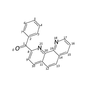 O=C(c1ccccc1)c1ccc2ccc3cccnc3c2n1